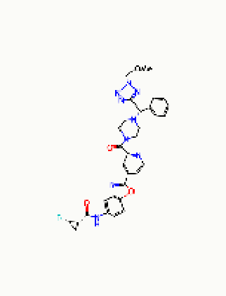 COCn1nnc([C@H](c2ccccc2)N2CCN(C(=O)c3cc(-c4nc5cc(NC(=O)[C@@H]6C[C@@H]6F)ccc5o4)ccn3)CC2)n1